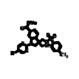 COC(=O)c1ccc2c(c1)N(c1ncc(Br)cn1)CC2(CO)COS(=O)(=O)c1ccc(C)cc1